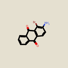 Nc1ccc2c(c1Br)C(=O)c1ccccc1C2=O